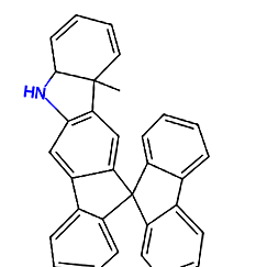 CC12C=CC=CC1Nc1cc3c(cc12)C1(c2ccccc2-c2ccccc21)c1ccccc1-3